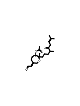 CC(=O)O[C@@H]1CCC(=CC=O)COC1(C)CCCC(C)C(=O)CC=C(C)C